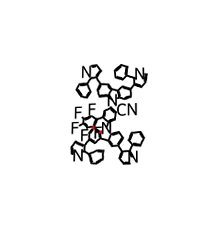 N#Cc1cc(-n2c3ccc(-c4cccnc4-c4ccccc4)cc3c3cc(-c4cccnc4-c4ccccc4)ccc32)c(-c2c(F)c(F)c(F)c(F)c2F)cc1-n1c2ccc(-c3cccnc3-c3ccccc3)cc2c2cc(-c3cccnc3-c3ccccc3)ccc21